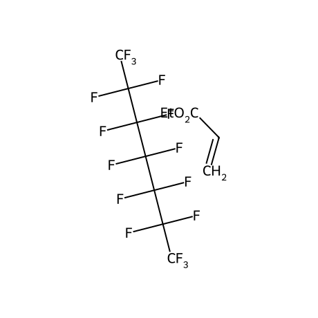 C=CC(=O)OCC.FC(F)(F)C(F)(F)C(F)(F)C(F)(F)C(F)(F)C(F)(F)C(F)(F)F